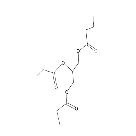 CCCC(=O)OCC(COC(=O)CC)OC(=O)CC